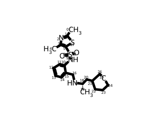 Cc1nc(C)c(S(=O)(=O)Nc2ccccc2CN[C@@H](C)CC2CCCCC2)s1